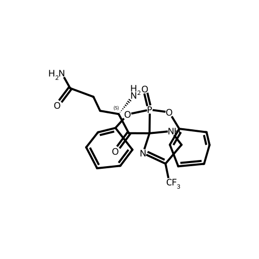 NC(=O)CC[C@H](N)C(=O)C1(P(=O)(Oc2ccccc2)Oc2ccccc2)N=C(C(F)(F)F)CN1